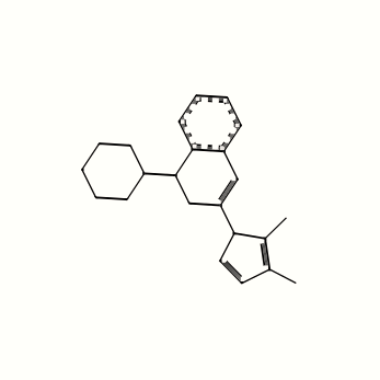 CC1=C(C)C(C2=Cc3ccccc3C(C3CCCCC3)C2)C=C1